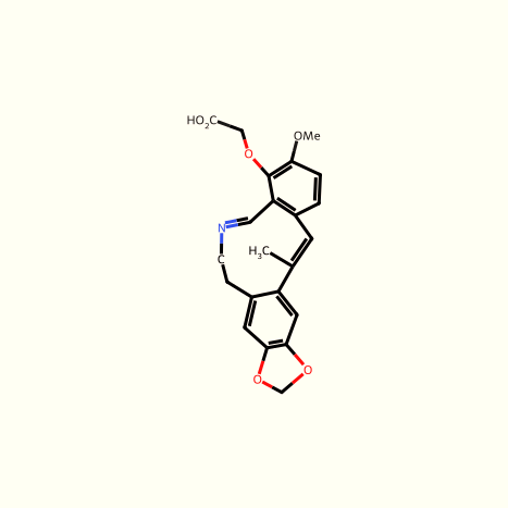 COc1ccc2c(c1OCC(=O)O)/C=N/CCc1cc3c(cc1/C(C)=C/2)OCO3